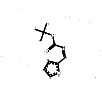 CC(C)(C)OC(=O)/N=C\c1ccco1